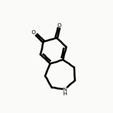 O=C1C=C2CCNCCC2=CC1=O